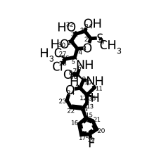 CSC1OC([C@H](NC(=O)[C@H]2NC[C@@H]3CC(c4ccc(F)cc4)=CCO[C@H]32)[C@H](C)Cl)C(O)C(O)C1O